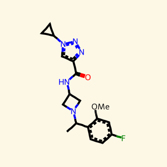 COc1cc(F)ccc1C(C)N1CC(NC(=O)c2cn(C3CC3)nn2)C1